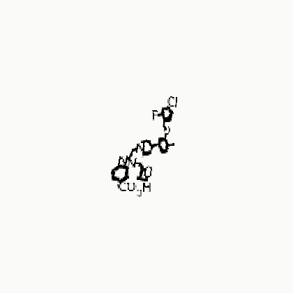 Cc1ccc(C2=CCN(Cc3nc4ccc(C(=O)O)cc4n3CC3CCO3)CC2)cc1OCc1ccc(Cl)cc1F